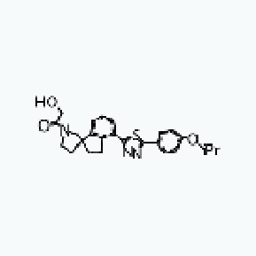 CC(C)Oc1ccc(-c2nnc(-c3cccc4c3CCC43CCN(C(=O)CO)C3)s2)cc1